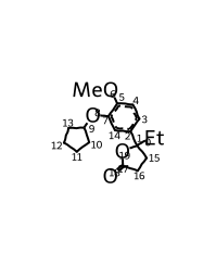 CCC1(c2ccc(OC)c(OC3CCCC3)c2)CCC(=O)O1